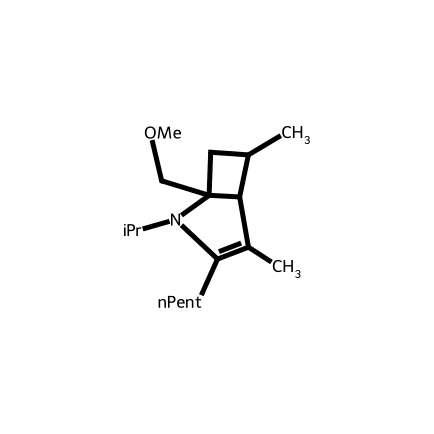 CCCCCC1=C(C)C2C(C)CC2(COC)N1C(C)C